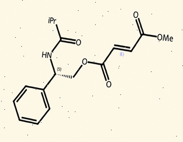 COC(=O)/C=C/C(=O)OC[C@@H](NC(=O)C(C)C)c1ccccc1